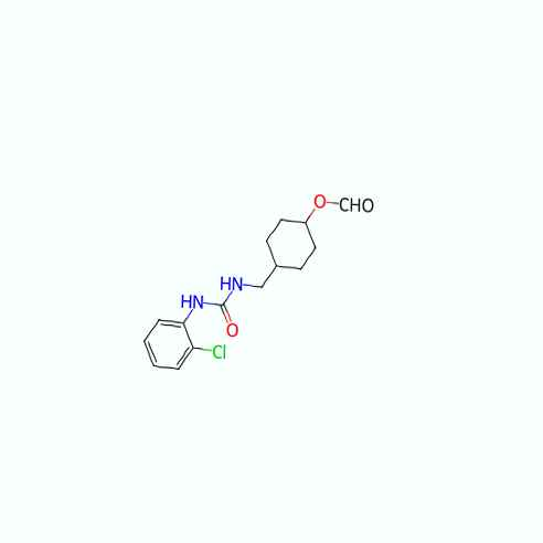 O=COC1CCC(CNC(=O)Nc2ccccc2Cl)CC1